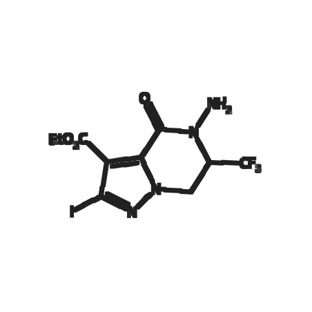 CCOC(=O)c1c(I)nn2c1C(=O)N(N)C(C(F)(F)F)C2